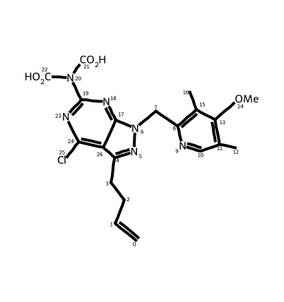 C=CCCc1nn(Cc2ncc(C)c(OC)c2C)c2nc(N(C(=O)O)C(=O)O)nc(Cl)c12